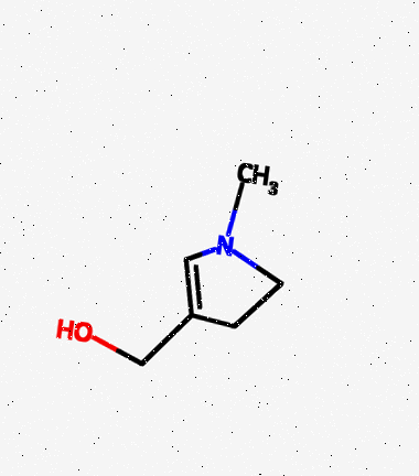 CN1C=C(CO)CC1